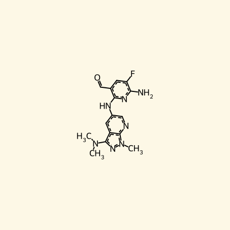 CN(C)c1nn(C)c2ncc(Nc3nc(N)c(F)cc3C=O)cc12